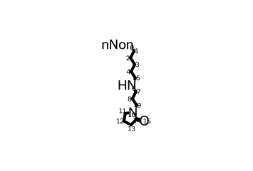 CCCCCCCCCCCCCCNCCCN1CCCC1=O